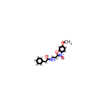 COc1ccc2c(c1)OC(CCNC(=O)Cc1ccccc1)[N+]2=O